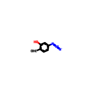 [N-]=[N+]=Nc1ccc(C=O)c(O)c1